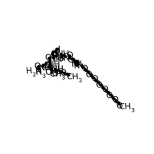 CCCOCCC(=O)N[C@H](C(=O)N[C@@H](CCCNC(N)=O)C(=O)Nc1ccc(CI)c(NC(=O)CNC(=O)OCc2cn(CCOCCOCCOCCOCCOCCOCCOCCOC)nn2)c1)C(C)C